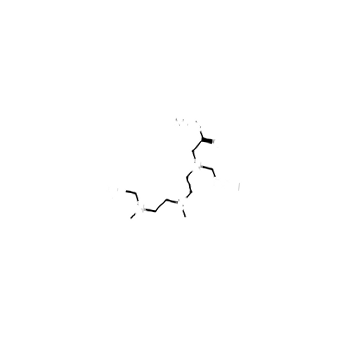 CNC(=O)CN(CCN(C)CCN(C)CC(=O)O)CC(=O)O